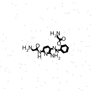 NCC(=O)Nc1ccc(/N=N/c2ccccc2OC(=O)CN)c(N)n1